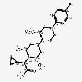 CC[C@@H]1C[C@@H]([C@H]2CCN(c3ncc(F)cn3)C[C@H]2OC)C[C@H](C)N1[C@@H](C(N)=O)C1CC1